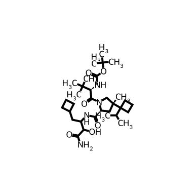 CC(C)C1([C@]2(C)C[C@@H](C(=O)NC(CC3CCC3)C(O)C(N)=O)N(C(=O)[C@@H](NC(=O)OC(C)(C)C)C(C)(C)C)C2)CCC1